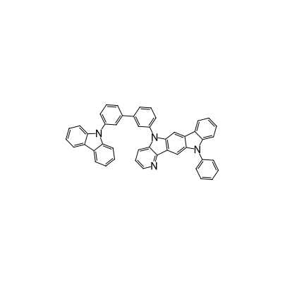 c1ccc(-n2c3ccccc3c3cc4c(cc32)c2ncccc2n4-c2cccc(-c3cccc(-n4c5ccccc5c5ccccc54)c3)c2)cc1